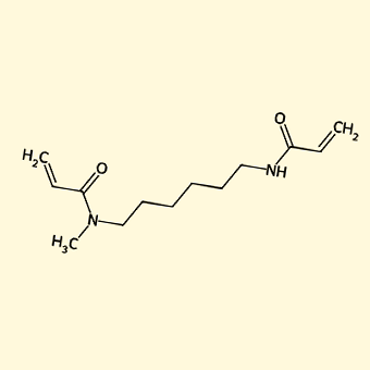 C=CC(=O)NCCCCCCN(C)C(=O)C=C